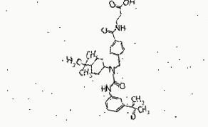 C=S(C)(=O)c1cccc(NC(=O)N(Cc2ccc(C(=O)NCCC(=O)O)cc2)C2CCC(C(C)(C)C)CC2)c1